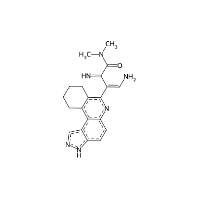 CN(C)C(=O)C(=N)/C(=C\N)c1nc2ccc3[nH]ncc3c2c2c1CCCC2